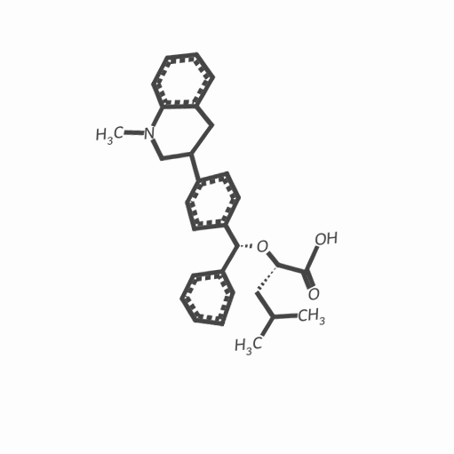 CC(C)C[C@H](O[C@H](c1ccccc1)c1ccc(C2Cc3ccccc3N(C)C2)cc1)C(=O)O